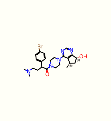 C[C@@H]1C[C@@H](O)c2ncnc(N3CCN(C(=O)C(CCN(C)C)c4ccc(Br)cc4)CC3)c21